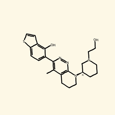 Cc1c(-c2ccc3sccc3c2O)nnc2c1CCCN2[C@@H]1CCCN(CCO)C1